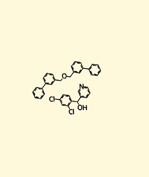 OC(c1cccnc1)c1ccc(Cl)cc1Cl.c1ccc(-c2cccc(COCc3cccc(-c4ccccc4)c3)c2)cc1